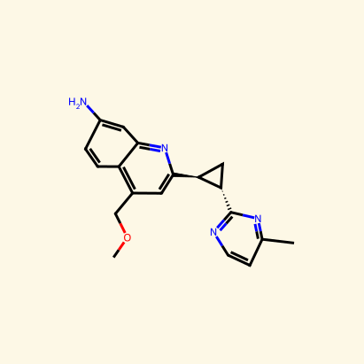 COCc1cc([C@H]2C[C@@H]2c2nccc(C)n2)nc2cc(N)ccc12